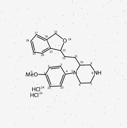 COc1ccc(N2CCNCC2CCC2OCc3ccccc32)cc1.Cl.Cl